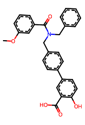 COc1cccc(C(=O)N(Cc2ccccc2)Cc2ccc(-c3ccc(O)c(C(=O)O)c3)cc2)c1